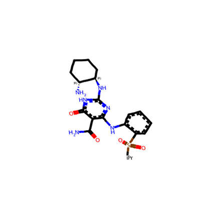 CC(C)S(=O)(=O)c1ccccc1Nc1nc(N[C@@H]2CCCC[C@H]2N)[nH]c(=O)c1C(N)=O